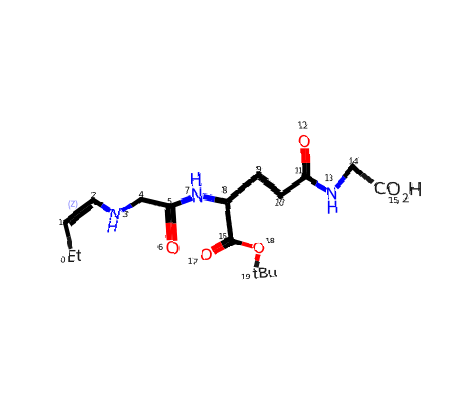 CC/C=C\NCC(=O)NC(CCC(=O)NCC(=O)O)C(=O)OC(C)(C)C